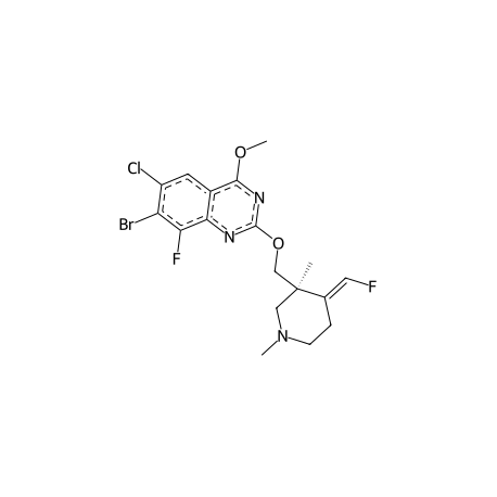 COc1nc(OC[C@]2(C)CN(C)CC/C2=C\F)nc2c(F)c(Br)c(Cl)cc12